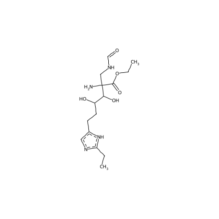 CCOC(=O)C(N)(CNC=O)C(O)C(O)CCc1cnc(CC)[nH]1